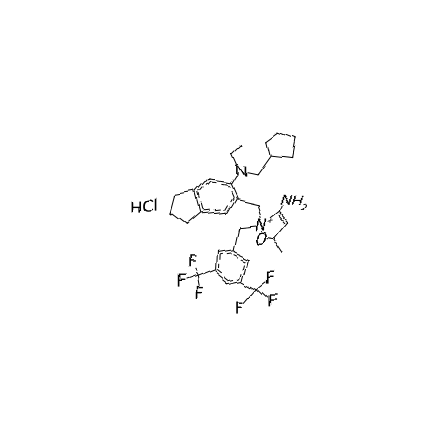 CCN(CC1CCCC1)c1cc2c(cc1C[N+]1(Cc3cc(C(F)(F)F)cc(C(F)(F)F)c3)OC(C)C=C1N)CCC2.Cl